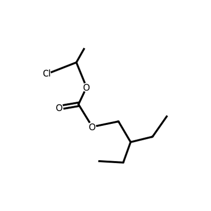 CCC(CC)COC(=O)OC(C)Cl